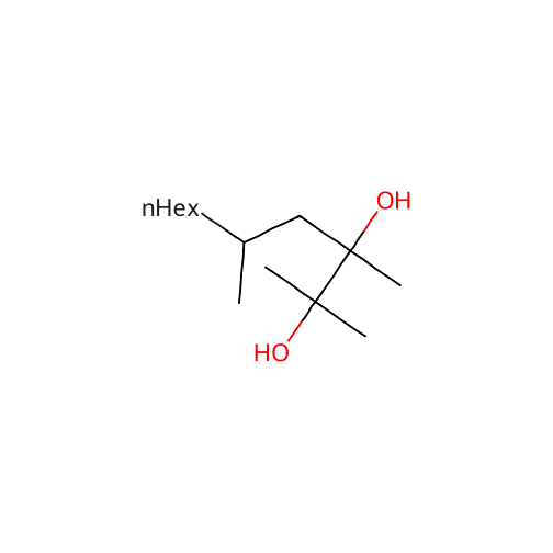 CCCCCCC(C)CC(C)(O)C(C)(C)O